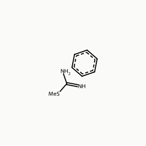 CSC(=N)N.c1ccccc1